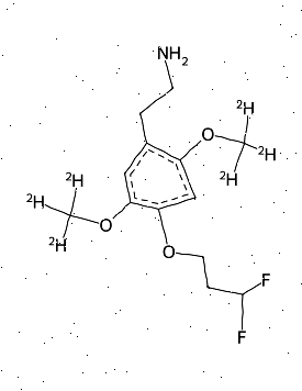 [2H]C([2H])([2H])Oc1cc(OCCC(F)F)c(OC([2H])([2H])[2H])cc1CCN